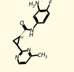 Cc1ccnc(C2C[C@@H]2C(=O)Nc2ccc(F)c(N)c2)n1